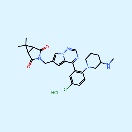 CNC1CCCN(c2ccc(Cl)cc2-c2ncnn3cc(CN4C(=O)C5C(C4=O)C5(C)C)cc23)C1.Cl